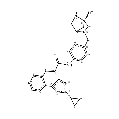 O=C(/C=C/c1cnccc1-c1cnn(C2CC2)c1)Nc1ccc(CN2C[C@@H]3CC2CN3)cc1